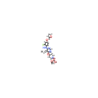 Cc1c(Nc2ccc(OCC3CCCO3)cc2F)ncnc1OC1CCN(OC(=O)OC(C)C)CC1